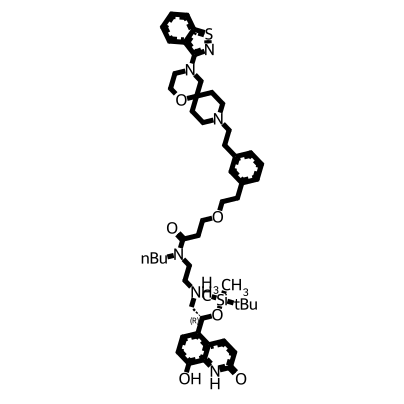 CCCCN(CCNC[C@H](O[Si](C)(C)C(C)(C)C)c1ccc(O)c2[nH]c(=O)ccc12)C(=O)CCOCCc1cccc(CCN2CCC3(CC2)CN(c2nsc4ccccc24)CCO3)c1